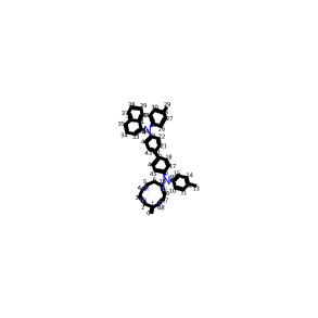 C=C1/C=C\C=C/C/C(N(c2ccc(C)cc2)c2ccc(-c3ccc(N(c4ccc(C)cc4)c4cccc5ccccc45)cc3)cc2)=C\C=C/1